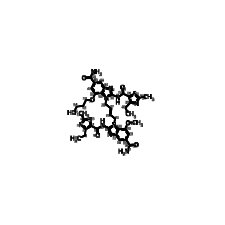 CCc1nc(C)sc1C(=O)Nc1nc2cc(C(N)=O)cc(OC)c2n1C/C=C/Cn1c(NC(=O)c2sc(C)nc2CC)nc2cc(C(N)=O)cc(OCCCO)c21